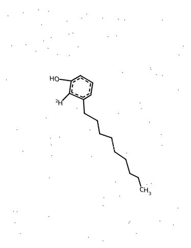 [2H]c1c(O)cccc1CCCCCCCCC